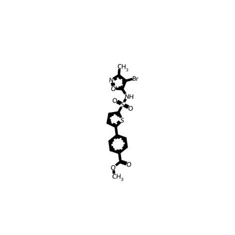 COC(=O)c1ccc(-c2ccc(S(=O)(=O)Nc3onc(C)c3Br)s2)cc1